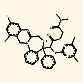 Cc1cc(C)nc(OC(C(=O)OCC(=O)N(C)C)C2(c3ccccc3)NCC(=O)N(Cc3c(F)cc(F)cc3F)c3ccccc32)n1